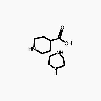 C1CNCCN1.O=C(O)C1CCNCC1